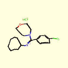 Cl.Clc1ccc(/C(=N/C2CCCCC2)N2CCOCC2)cc1